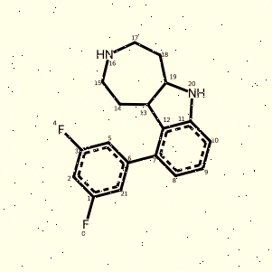 Fc1cc(F)cc(-c2cccc3c2C2CCNCCC2N3)c1